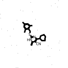 C=C1NC(SCc2c(C)cc(C)cc2C)=NC(C2CCCCC2)=C1C#N